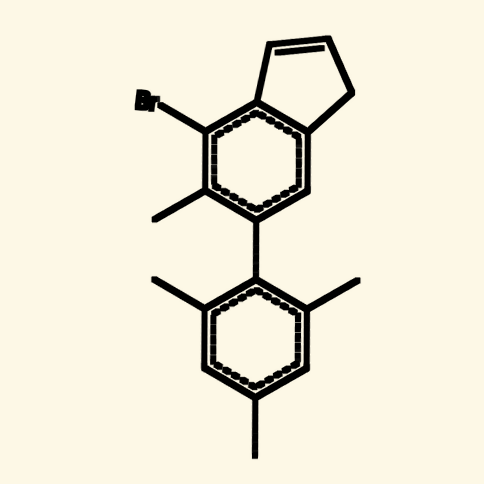 Cc1cc(C)c(-c2cc3c(c(Br)c2C)C=CC3)c(C)c1